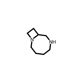 C1CCN2CCC2CNC1